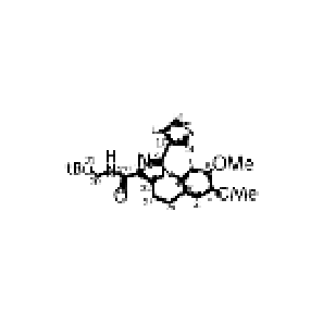 COc1cc2c(cc1OC)-n1c(-c3ccsc3)nc(C(=O)NCC(C)(C)C)c1CC2